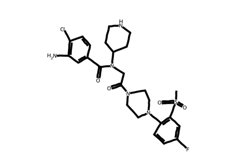 CS(=O)(=O)c1cc(F)ccc1N1CCN(C(=O)CN(C(=O)c2ccc(Cl)c(N)c2)C2CCNCC2)CC1